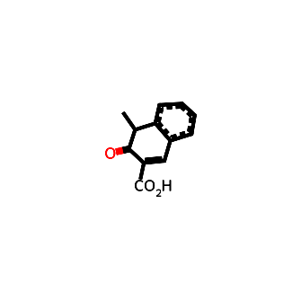 CC1C(=O)C(C(=O)O)=Cc2ccccc21